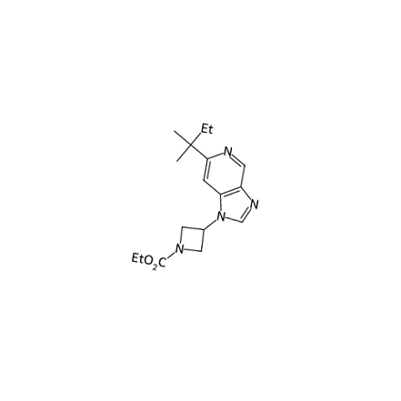 CCOC(=O)N1CC(n2cnc3cnc(C(C)(C)CC)cc32)C1